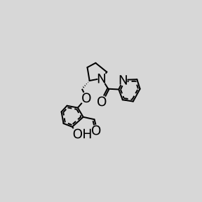 O=Cc1c(O)cccc1OC[C@@H]1CCCN1C(=O)c1ccccn1